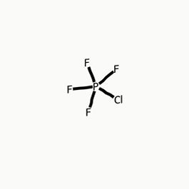 FP(F)(F)(F)Cl